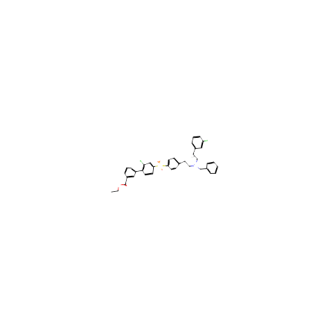 CCOC(=O)c1cccc(-c2ccc(S(=O)(=O)c3ccc(CCN(Cc4ccccc4)C[C@H](O)c4cccc(Cl)c4)cc3)cc2Cl)c1